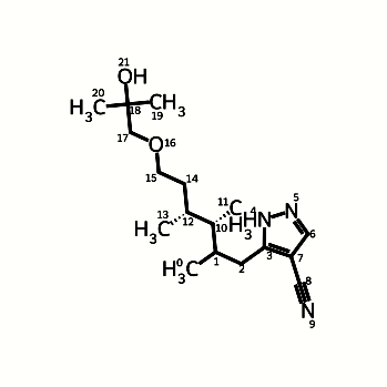 CC(Cc1[nH]ncc1C#N)[C@@H](C)[C@H](C)CCOCC(C)(C)O